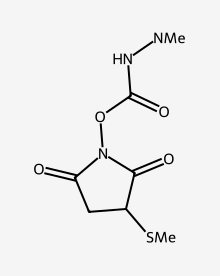 CNNC(=O)ON1C(=O)CC(SC)C1=O